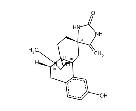 C=C1NC(=O)N[C@]12CC[C@@]1(O)[C@H]3Cc4ccc(O)cc4[C@@]1(CCN3C)C2